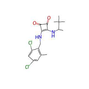 Cc1cc(Cl)cc(Cl)c1CNc1c(NC(C)C(C)(C)C)c(=O)c1=O